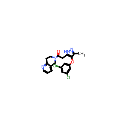 Cc1n[nH]c(CC(=O)N2CCc3ncccc3C2)c1Oc1cc(Cl)cc(Cl)c1